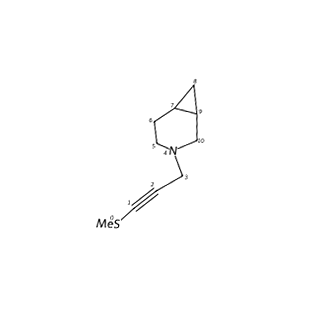 CSC#CCN1CCC2CC2C1